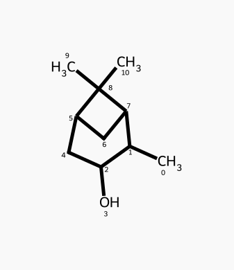 CC1C(O)CC2CC1C2(C)C